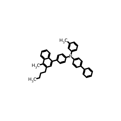 CCCCc1cc(-c2ccc(N(c3ccc(-c4ccccc4)cc3)c3cccc(C)c3)cc2)c2ccccc2c1C